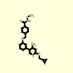 CSNC(=O)c1ccc(COc2cccc(-c3cnc(OCC4CC4)cc3C)c2)cc1